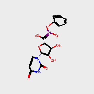 O=c1ccn([C@@H]2O[C@H](/C(O)=[P+](\[O-])Oc3ccccc3)[C@@H](O)[C@H]2O)c(=O)[nH]1